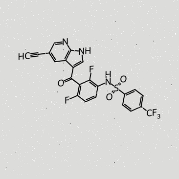 C#Cc1cnc2[nH]cc(C(=O)c3c(F)ccc(NS(=O)(=O)c4ccc(C(F)(F)F)cc4)c3F)c2c1